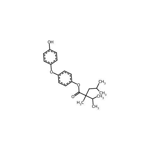 CC(C)CC(C)(C(=O)Oc1ccc(Oc2ccc(O)cc2)cc1)C(C)C